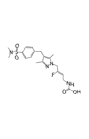 Cc1nn(CC(F)=CCNC(=O)O)c(C)c1Cc1ccc(S(=O)(=O)N(C)C)cc1